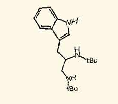 CC(C)(C)NCC(Cc1c[nH]c2ccccc12)NC(C)(C)C